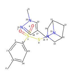 Cc1ccc(S(=O)(=O)SN2CC3CC(C2)N3Cc2cnn(C)c2)cc1